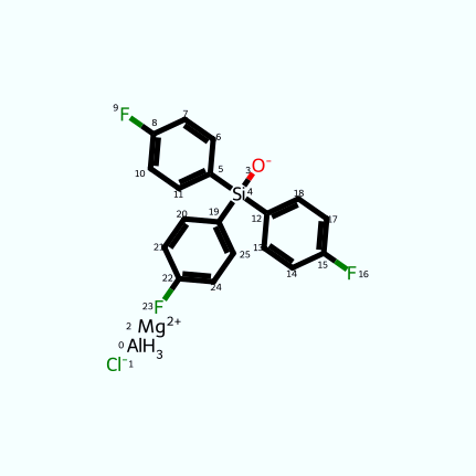 [AlH3].[Cl-].[Mg+2].[O-][Si](c1ccc(F)cc1)(c1ccc(F)cc1)c1ccc(F)cc1